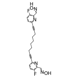 O/N=C\c1nc(C#CCCCCCCC#Cc2ccc(F)c(/C=N/O)n2)ccc1F